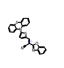 N#C/C(=C\c1ccc(N2c3ccccc3Sc3ccccc32)s1)c1nc2ccccc2o1